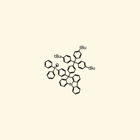 CC(C)(C)c1ccc(C(c2ccc(C(C)(C)C)cc2)(c2ccc(C(C)(C)C)cc2)c2ccc(C3(c4ccc(P(=O)(c5ccccc5)c5ccccc5)cc4)c4ccccc4-n4c5ccccc5c5cccc3c54)cc2)cc1